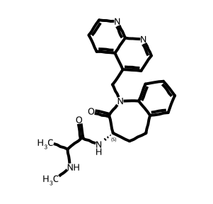 CNC(C)C(=O)N[C@H]1CCc2ccccc2N(Cc2ccnc3ncccc23)C1=O